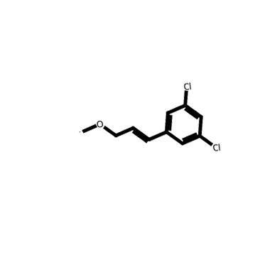 [CH2]OCC=Cc1cc(Cl)cc(Cl)c1